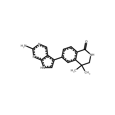 CC1(C)CNC(=O)c2ccc(-c3c[nH]c4nc(N)ncc34)cc21